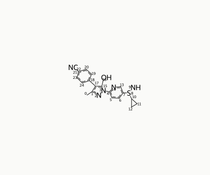 Cc1nn(-c2ccc(S(=N)C3CC3)cn2)c(O)c1-c1ccc(C#N)cc1